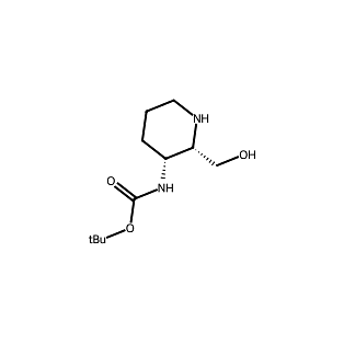 CC(C)(C)OC(=O)N[C@@H]1CCCN[C@@H]1CO